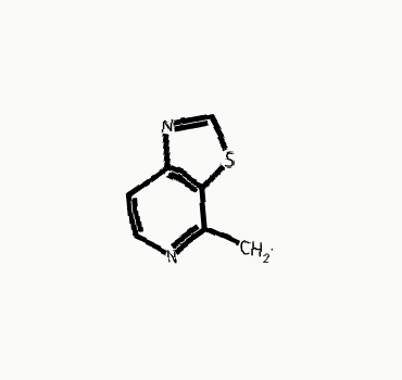 [CH2]c1nccc2ncsc12